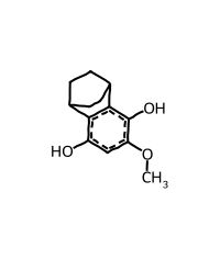 COc1cc(O)c2c(c1O)C1CCC2CC1